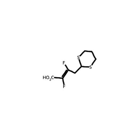 O=C(O)C(F)=C(F)CC1SCCCS1